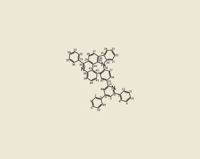 c1ccc(-c2cc(-c3ccccc3)nc(-c3ccc(-n4c5ccccc5c5ccc6c(-c7ccccc7)nc7ccccc7c6c54)cc3)c2)cc1